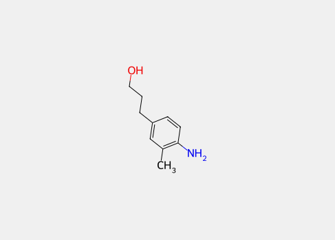 Cc1cc(CCCO)ccc1N